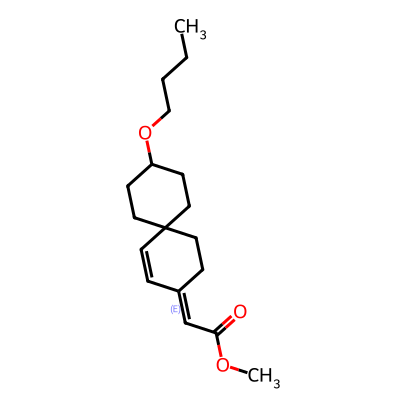 CCCCOC1CCC2(C=C/C(=C/C(=O)OC)CC2)CC1